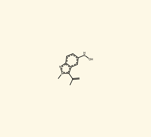 C=C(C)c1c2cc(BO)ccc2nn1C